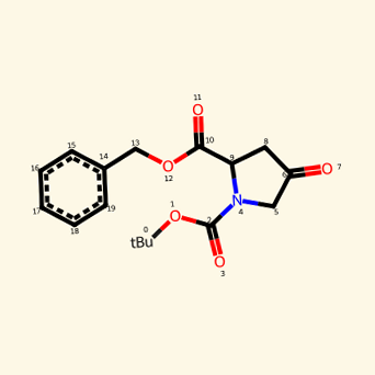 CC(C)(C)OC(=O)N1CC(=O)CC1C(=O)OCc1ccccc1